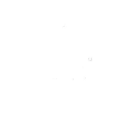 O=C1Nc2ccc(Br)cc2C1=CS(=O)(=O)Cc1ccc(Cl)cc1